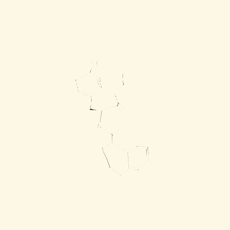 CCOC(=O)[C@H](Cc1ccc(Cl)cc1)NC(=O)c1cccc2ccccc12